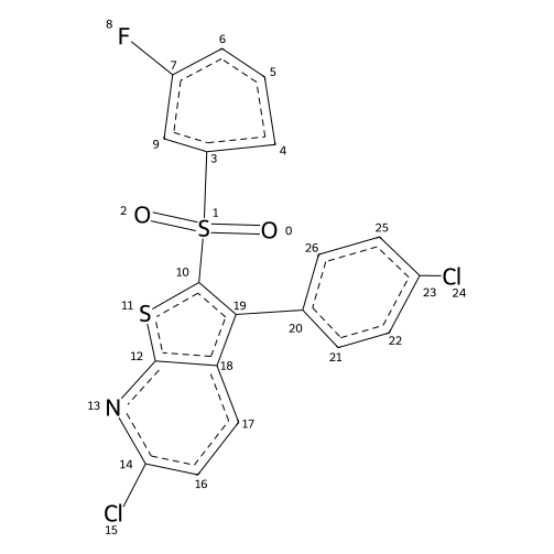 O=S(=O)(c1cccc(F)c1)c1sc2nc(Cl)ccc2c1-c1ccc(Cl)cc1